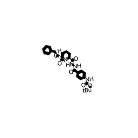 CC(C)(C)OC(=O)Nc1ccc(C(=O)NNC(=O)[C@@H]2CC[C@@H]3CN2C(=O)N3OCc2ccccc2)cc1